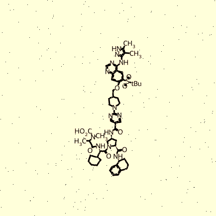 Cc1[nH]nc(Nc2ncnc3cc(OCC4CCN(c5ncc(C(=O)N[C@H]6C[C@@H](C(=O)N[C@@H]7CCCc8ccccc87)N(C(=O)[C@@H](NC(=O)C(C)N(C)C(=O)O)C7CCCCC7)C6)cn5)CC4)c(S(=O)(=O)C(C)(C)C)cc23)c1C